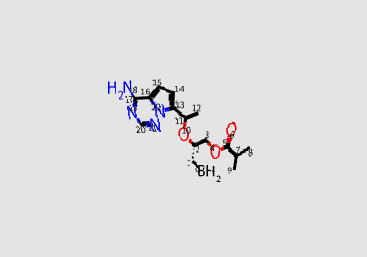 BC[C@@H](COC(=O)C(C)C)OC(C)c1ccc2c(N)ncnn12